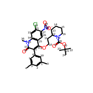 Cc1cc(C)cc(-c2c(OCCC3CCCCN3C(=O)OC(C)(C)C)c3cc([N+](=O)[O-])c(Cl)cc3n(C)c2=O)c1